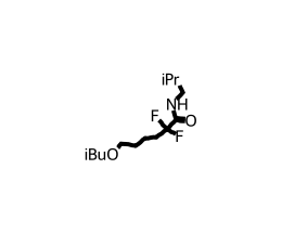 CC(C)CNC(=O)C(F)(F)CCCCOCC(C)C